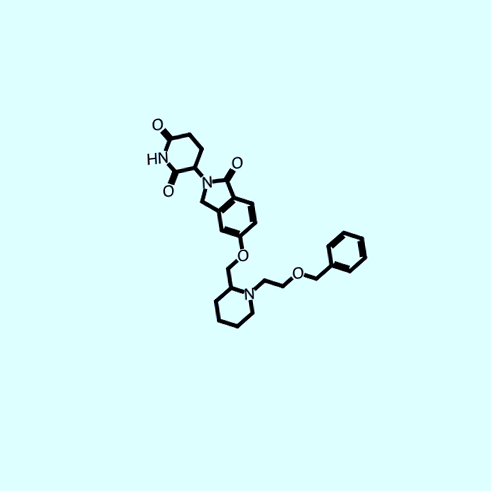 O=C1CCC(N2Cc3cc(OCC4CCCCN4CCOCc4ccccc4)ccc3C2=O)C(=O)N1